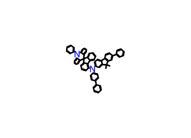 CC1(C)c2cc(-c3ccccc3)ccc2-c2ccc(N(c3ccc(-c4ccccc4)cc3)c3cccc4c3-c3ccccc3C43c4ccccc4N(c4ccccc4)c4ccccc43)cc21